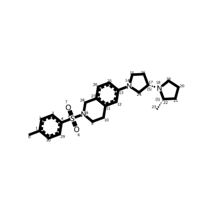 Cc1ccc(S(=O)(=O)N2CCc3cc(N4CC[C@H](N5CCC[C@@H]5C)C4)ccc3C2)cc1